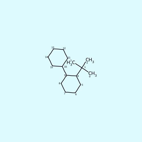 CC(C)(C)C1CCCC[C]1C1CCCCC1